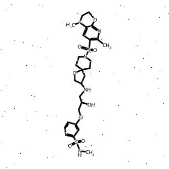 CNS(=O)(=O)c1cccc(OCC(O)CNC2COC3(CCN(S(=O)(=O)c4cc5c(nc4C)OCCN5C)CC3)C2)c1